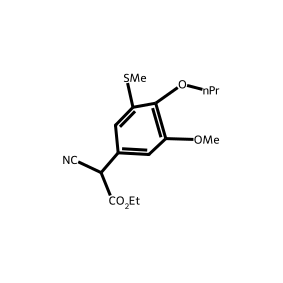 CCCOc1c(OC)cc(C(C#N)C(=O)OCC)cc1SC